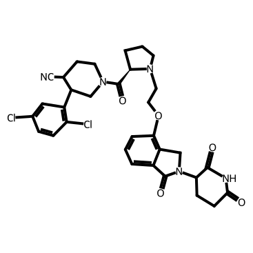 N#CC1CCN(C(=O)[C@H]2CCCN2CCOc2cccc3c2CN(C2CCC(=O)NC2=O)C3=O)CC1c1cc(Cl)ccc1Cl